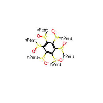 CCCCC[S+]([O-])c1c([S+]([O-])CCCCC)c([S+]([O-])CCCCC)c([S+]([O-])CCCCC)c([S+]([O-])CCCCC)c1[S+]([O-])CCCCC